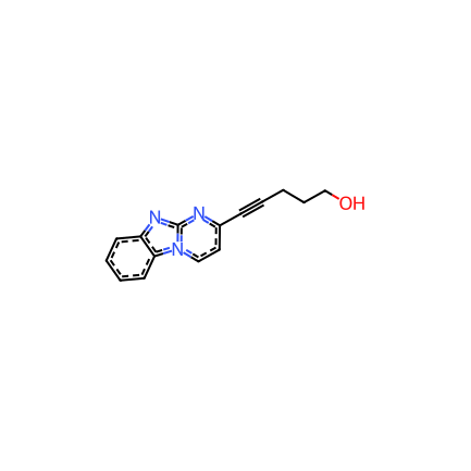 OCCCC#Cc1ccn2c(n1)nc1ccccc12